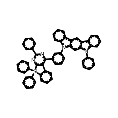 c1ccc(-c2nc(-c3cccc(-n4c5ccccc5c5cc6c7ccccc7n(-c7ccccc7)c6cc54)c3)c3c(n2)[Si](c2ccccc2)(c2ccccc2)c2ccccc2-3)cc1